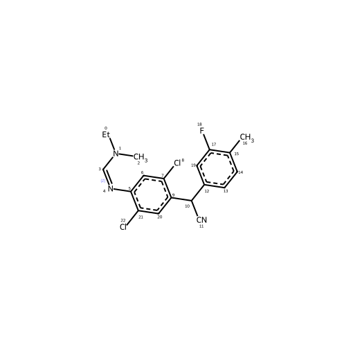 CCN(C)/C=N\c1cc(Cl)c(C(C#N)c2ccc(C)c(F)c2)cc1Cl